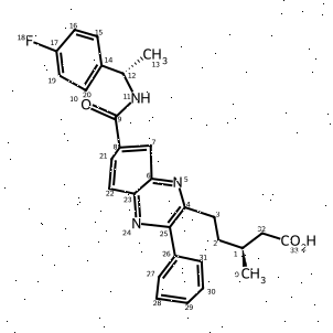 C[C@@H](CCc1nc2cc(C(=O)N[C@@H](C)c3ccc(F)cc3)ccc2nc1-c1ccccc1)CC(=O)O